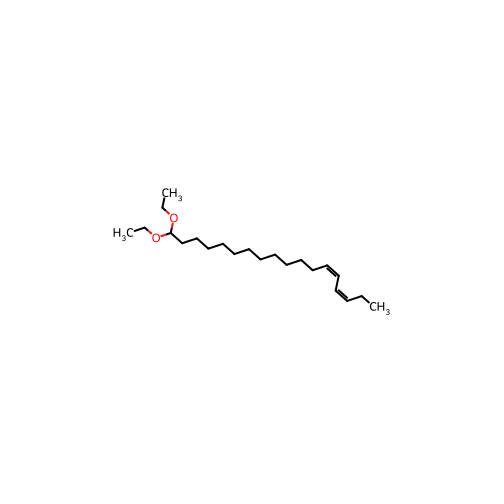 CC/C=C\C=C/CCCCCCCCCCCC(OCC)OCC